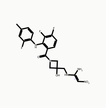 Cc1ccc(Nc2c(C(=O)N3CC(O)(CN/C(N)=C/[N+](=O)[O-])C3)ccc(F)c2F)c(F)c1